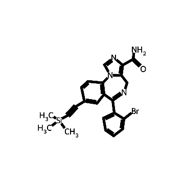 C[Si](C)(C)C#Cc1ccc2c(c1)C(c1ccccc1Br)=NCc1c(C(N)=O)ncn1-2